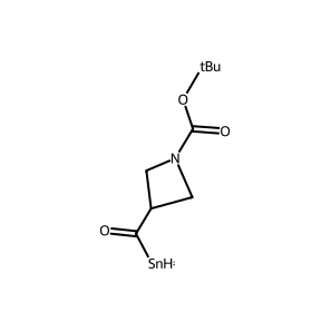 CC(C)(C)OC(=O)N1CC([C](=O)[SnH])C1